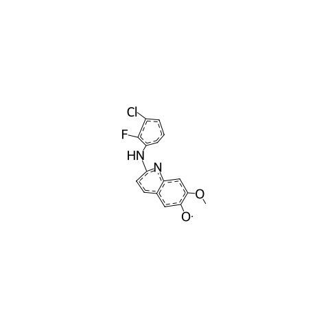 COc1cc2nc(Nc3cccc(Cl)c3F)ccc2cc1[O]